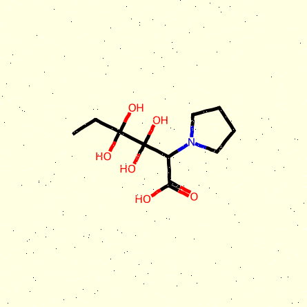 CCC(O)(O)C(O)(O)C(C(=O)O)N1CCCC1